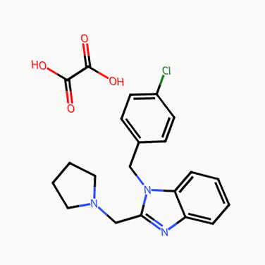 Clc1ccc(Cn2c(CN3CCCC3)nc3ccccc32)cc1.O=C(O)C(=O)O